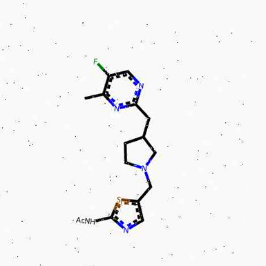 CC(=O)Nc1ncc(CN2CCC(Cc3ncc(F)c(C)n3)C2)s1